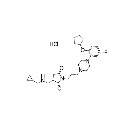 Cl.O=C1CC(CNCC2CC2)C(=O)N1CCCN1CCN(c2cc(F)ccc2OC2CCCC2)CC1